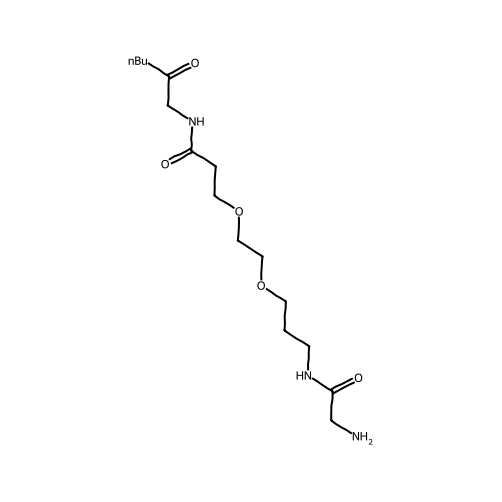 CCCCC(=O)CNC(=O)CCOCCOCCCNC(=O)CN